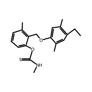 CCc1cc(C)c(OCc2c(C)cccc2OC(=S)NC)cc1C